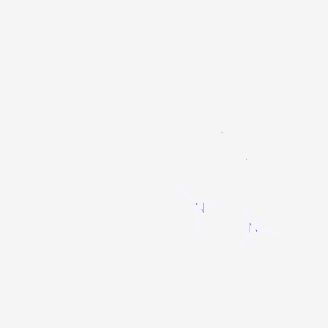 C=C/C=C\C=C1/CC(C)(CC)C(C=C)(CC)C2N(C)C=CN12